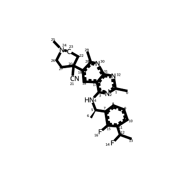 Cc1nc(N[C@H](C)c2cccc(C(C)F)c2F)c2cc(C3(C#N)CCN(C)CC3)c(C)nc2n1